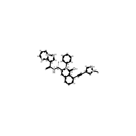 C=C(N[C@H](C)c1cc2cccc(C#Cc3cnn(C)c3)c2c(=O)n1-c1ccccc1)c1cnn2cccnc12